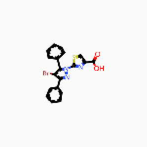 O=C(O)c1csc(-n2nc(-c3ccccc3)c(Br)c2-c2ccccc2)n1